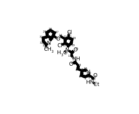 CCNC(=O)c1ccc(C=CC(=O)NCC(=O)N(C)c2ccc(Cl)c(COc3cccc4ccc(C)nc34)c2Cl)cn1